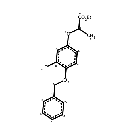 CCOC(=O)C(C)Oc1ccc(OCc2ccccc2)c(F)c1